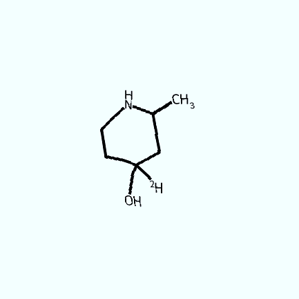 [2H]C1(O)CCNC(C)C1